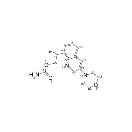 CC(COC(N)=O)c1cccc2cc(N3CCOCC3)cnc12